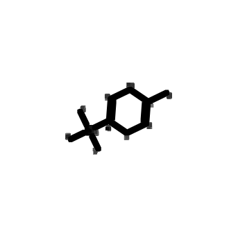 CC1=CCC([Si](C)(C)C)=CC1